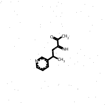 [CH2]C(=O)C(=N)CC(C)c1cccnc1